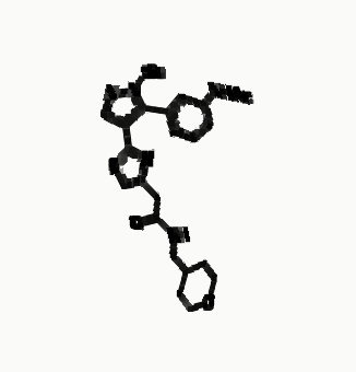 CC(=O)Nc1cccc(-c2c(-c3nc(CC(=O)NCC4CCOCC4)cs3)cnn2C(C)(C)C)c1